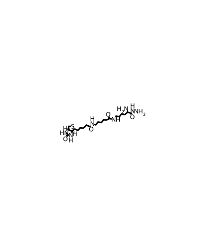 NNC(=O)C(N)CCCCNC(=O)CCCCCNC(=O)CCCCC1SC[C@@H]2NC(=O)N[C@H]12